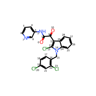 O=C(Nc1cccnc1)C(=O)c1c(Cl)n(Cc2ccc(Cl)cc2Cl)c2ccccc12